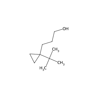 CC(C)(C)C1(CCCO)CC1